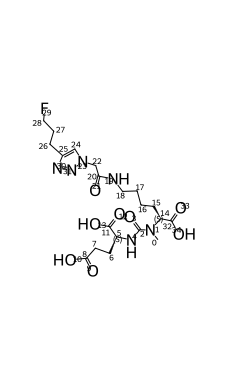 CN(C(=O)N[C@@H](CCC(=O)O)C(=O)O)[C@@H](CCCCNC(=O)Cn1cc(CCCF)nn1)C(=O)O